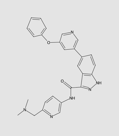 CN(C)Cc1ccc(NC(=O)c2n[nH]c3ccc(-c4cncc(Oc5ccccc5)c4)cc23)cn1